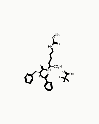 CC(C)(C)OC(=O)NCCCC[C@H](NC(=O)[C@H](Cc1ccccc1)NC(=O)c1ccccc1)C(=O)O.O=C(O)C(F)(F)F